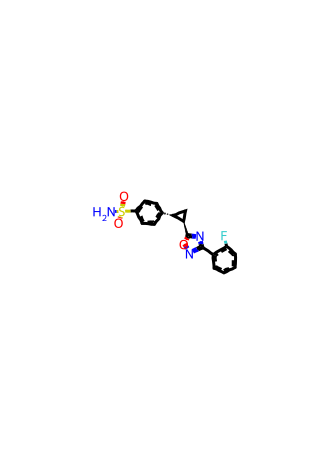 NS(=O)(=O)c1ccc([C@@H]2C[C@H]2c2nc(-c3ccccc3F)no2)cc1